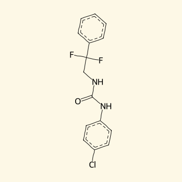 O=C(NCC(F)(F)c1ccccc1)Nc1ccc(Cl)cc1